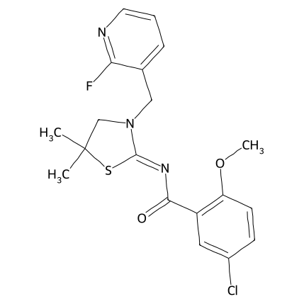 COc1ccc(Cl)cc1C(=O)N=C1SC(C)(C)CN1Cc1cccnc1F